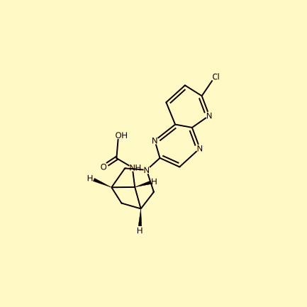 O=C(O)N[C@H]1[C@@H]2C[C@H]1CN(c1cnc3nc(Cl)ccc3n1)C2